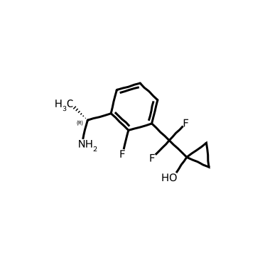 C[C@@H](N)c1cccc(C(F)(F)C2(O)CC2)c1F